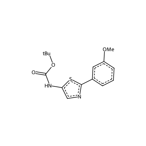 COc1cccc(-c2ncc(NC(=O)OC(C)(C)C)s2)c1